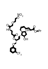 CC(C)OC(=O)CCC/C=C\C[C@@H]1[C@@H](/C=C/[C@H](COc2cccc(C(F)(F)F)c2)OC(=O)CCNC(=O)COCCO[N+](=O)[O-])[C@H](O)C[C@@H]1O